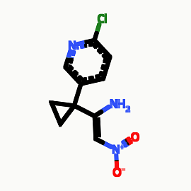 NC(=C[N+](=O)[O-])C1(c2ccc(Cl)nc2)CC1